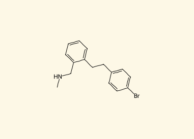 CNCc1ccccc1CCc1ccc(Br)cc1